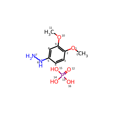 COc1ccc(NN)cc1OC.O=P(O)(O)O